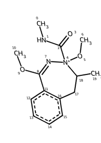 CNC(=O)[N+]1(OC)N=C(OC)c2ccccc2CC1C